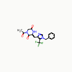 CC(=O)N1CC(=O)NC(=Cc2ncn(Cc3ccccc3)c2C(F)(F)F)C1=O